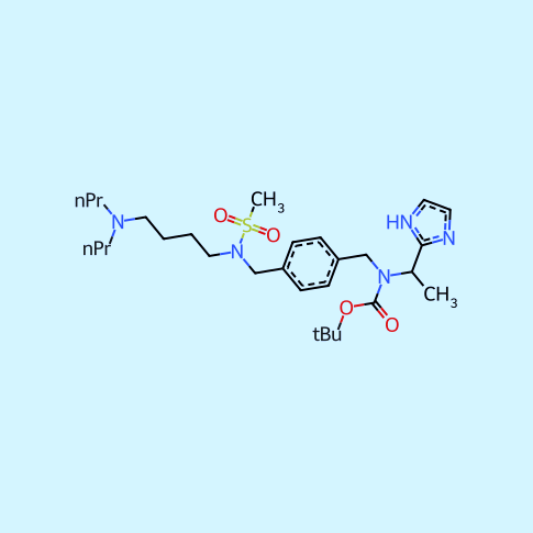 CCCN(CCC)CCCCN(Cc1ccc(CN(C(=O)OC(C)(C)C)C(C)c2ncc[nH]2)cc1)S(C)(=O)=O